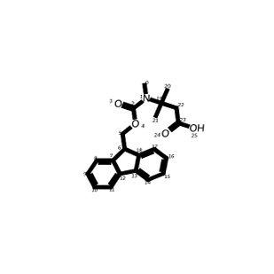 CN(C(=O)OCC1c2ccccc2-c2ccccc21)C(C)(C)CC(=O)O